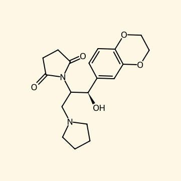 O=C1CCC(=O)N1C(CN1CCCC1)[C@H](O)c1ccc2c(c1)OCCO2